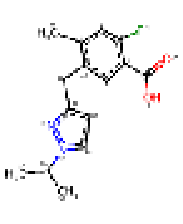 Cc1cc(F)c(C(=O)O)cc1Cc1ccn(C(C)C)n1